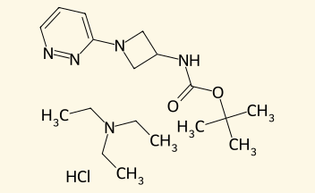 CC(C)(C)OC(=O)NC1CN(c2cccnn2)C1.CCN(CC)CC.Cl